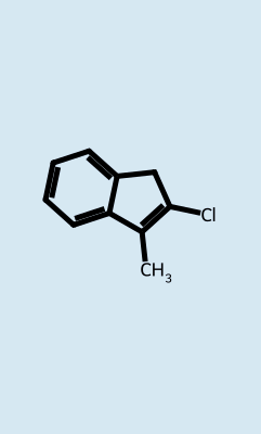 CC1=C(Cl)Cc2ccccc21